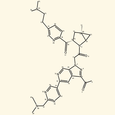 CC(=O)c1nn(CC(=O)N2C3C[C@]3(C)C[C@H]2C(=O)c2ccc(CCN(C)C)cn2)c2cnc(-c3cnc(CN(C)C)nc3)cc12